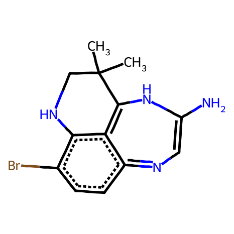 CC1(C)CNc2c(Br)ccc3c2=C1NC(N)=CN=3